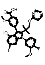 COc1cc(-n2c(C(C)(C)COc3ccncn3)c(-c3ccc(C(=O)O)c(OC)c3)c3c(O)cc(F)cc32)ccc1F